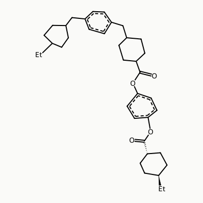 CCC1CCC(Cc2ccc(CC3CCC(C(=O)Oc4ccc(OC(=O)[C@H]5CC[C@H](CC)CC5)cc4)CC3)cc2)CC1